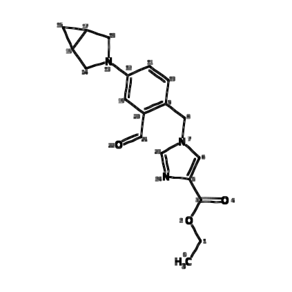 CCOC(=O)c1cn(Cc2ccc(N3CC4CC4C3)cc2C=O)cn1